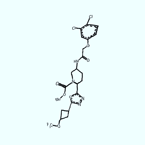 CC(C)(C)OC(=O)N1CC(NC(=O)COc2ccc(Cl)c(Cl)c2)CCC1c1nnc(C2CC(OC(F)(F)F)C2)o1